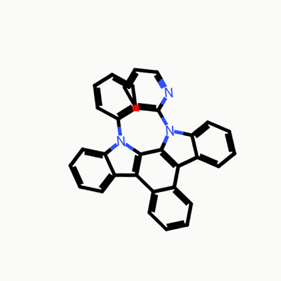 c1ccc(-n2c3ccccc3c3c4ccccc4c4c5ccccc5n(-c5ccccn5)c4c32)cc1